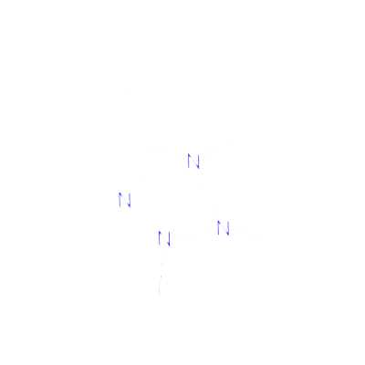 CC1=NN(C)N(C)N1C